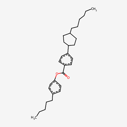 CCCCCCC1CCC(c2ccc(C(=O)Oc3ccc(CCCCC)cc3)cc2)CC1